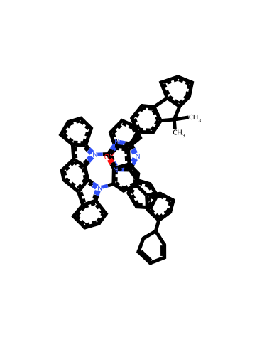 CC1(C)c2ccccc2-c2ccc(-c3nc(-c4ccccc4)nc(-n4c5ccccc5c5ccc6c7ccccc7n(-c7cc(-c8cccc(C9C=CC=CC9)c8)cc8c7oc7ccccc78)c6c54)n3)cc21